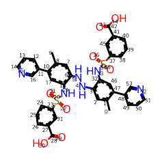 Cc1cc(NNc2cc(C)c(-c3cccnc3)cc2NS(=O)(=O)c2cccc(C(=O)O)c2)c(NS(=O)(=O)c2cccc(C(=O)O)c2)cc1-c1cccnc1